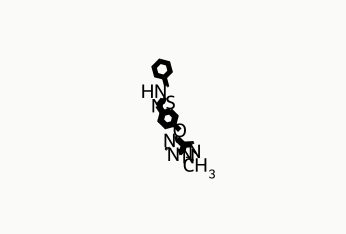 Cn1ncc2c(Oc3ccc4nc(NCC5CCCCC5)sc4c3)ncnc21